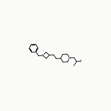 FC(F)CN1CCC(CCC2CN(Cc3ccccc3)C2)CC1